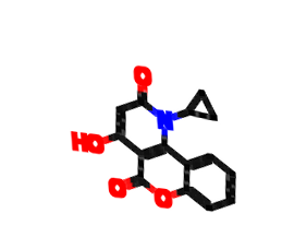 O=c1oc2ccccc2c2c1c(O)cc(=O)n2C1CC1